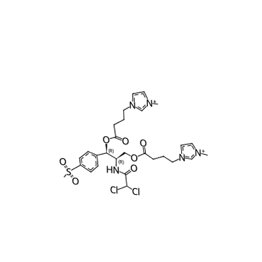 C[n+]1ccn(CCCC(=O)OC[C@@H](NC(=O)C(Cl)Cl)[C@H](OC(=O)CCCn2cc[n+](C)c2)c2ccc(S(C)(=O)=O)cc2)c1